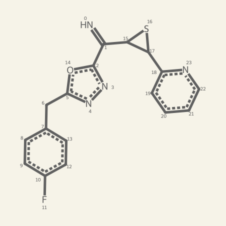 N=C(c1nnc(Cc2ccc(F)cc2)o1)C1SC1c1ccccn1